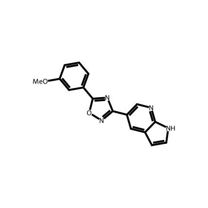 COc1cccc(-c2nc(-c3cnc4[nH]ccc4c3)no2)c1